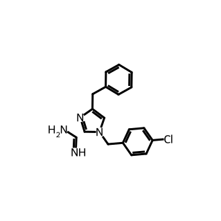 Clc1ccc(Cn2cnc(Cc3ccccc3)c2)cc1.N=CN